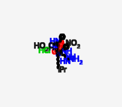 CC(C)CCCCCCCN(C(=O)CNC(=O)[C@H](CCC(=O)O)NC(=O)c1ccccc1)[C@@H](CCCNC(=N)N)C(=O)Nc1ccc([N+](=O)[O-])cc1.Cl